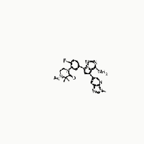 CC(=O)N1CCN(c2cc(-c3cc(-c4cnc5c(c4)ncn5C)c4c(N)ncnn34)ccc2F)C(=O)C1(C)C